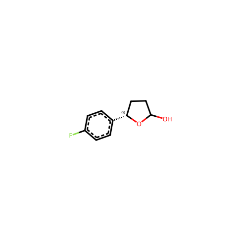 OC1CC[C@@H](c2ccc(F)cc2)O1